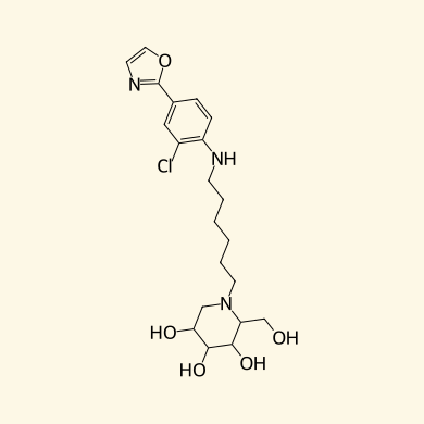 OCC1C(O)C(O)C(O)CN1CCCCCCNc1ccc(-c2ncco2)cc1Cl